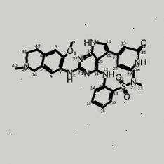 COc1cc2c(cc1Nc1nc(Nc3ccccc3S(=O)(=O)N(C)C)c3c(-c4cc[nH]c(=O)c4)c[nH]c3n1)CN(C)CC2